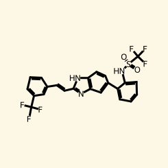 O=S(=O)(Nc1ccccc1-c1ccc2[nH]c(/C=C/c3cccc(C(F)(F)F)c3)nc2c1)C(F)(F)F